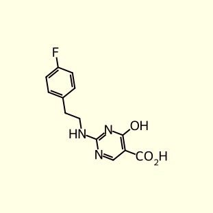 O=C(O)c1cnc(NCCc2ccc(F)cc2)nc1O